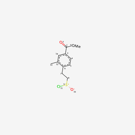 COC(=O)c1ccc(CC[S@+]([O-])Cl)c(C)c1